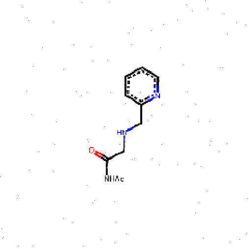 CC(=O)NC(=O)CNCc1ccccn1